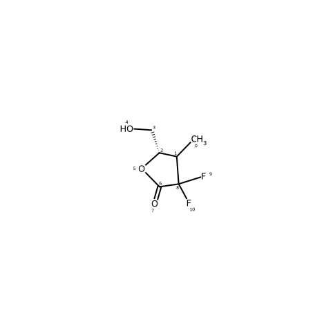 CC1[C@@H](CO)OC(=O)C1(F)F